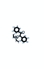 CCOCC.O=C(c1ccccc1)C(O)c1ccccc1